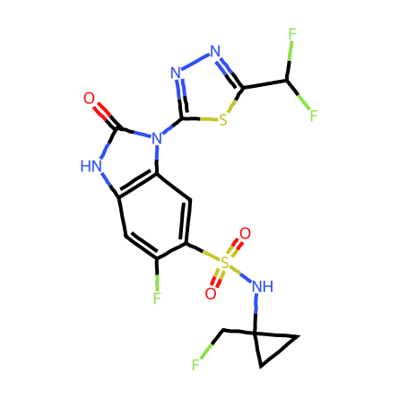 O=c1[nH]c2cc(F)c(S(=O)(=O)NC3(CF)CC3)cc2n1-c1nnc(C(F)F)s1